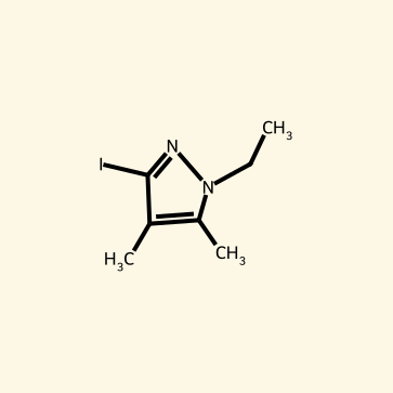 CCn1nc(I)c(C)c1C